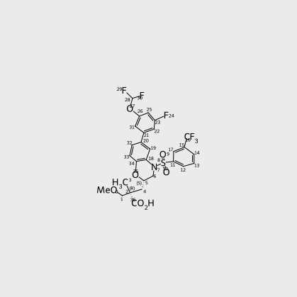 COC[C@@](C)(C[C@H]1CN(S(=O)(=O)c2cccc(C(F)(F)F)c2)c2cc(-c3cc(F)cc(OC(F)F)c3)ccc2O1)C(=O)O